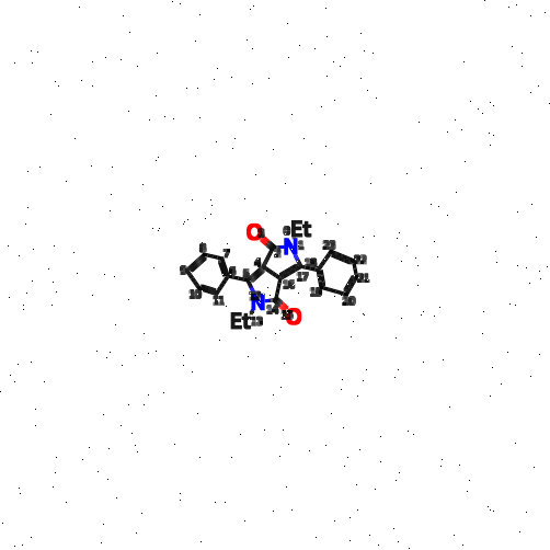 CCN1C(=O)C2=C(c3ccccc3)N(CC)C(=O)C2=C1c1ccccc1